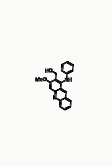 COc1cc2nc3ccccc3cc2c(Nc2ccccc2)c1CO